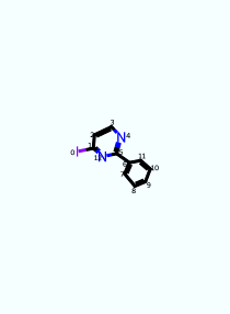 Ic1ccnc(-c2ccccc2)n1